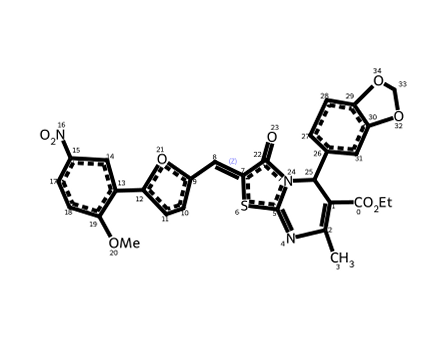 CCOC(=O)C1=C(C)N=c2s/c(=C\c3ccc(-c4cc([N+](=O)[O-])ccc4OC)o3)c(=O)n2C1c1ccc2c(c1)OCO2